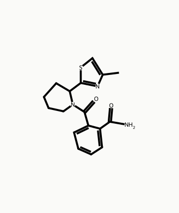 Cc1csc(C2CCCCN2C(=O)c2ccccc2C(N)=O)n1